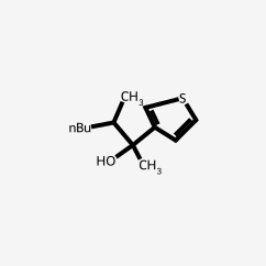 CCCC[C](C)C(C)(O)c1ccsc1